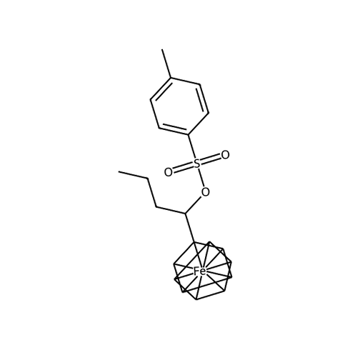 CCCC(OS(=O)(=O)c1ccc(C)cc1)[C]12[CH]3[CH]4[CH]5[CH]1[Fe]45321678[CH]2[CH]1[CH]6[CH]7[CH]28